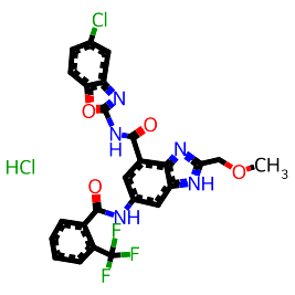 COCc1nc2c(C(=O)Nc3nc4cc(Cl)ccc4o3)cc(NC(=O)c3ccccc3C(F)(F)F)cc2[nH]1.Cl